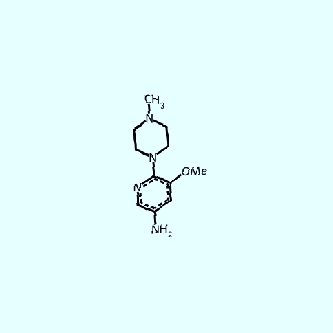 COc1cc(N)cnc1N1CCN(C)CC1